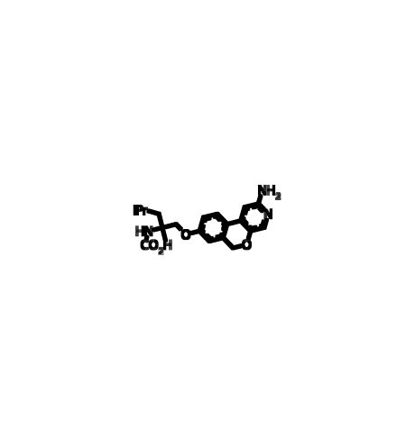 CC(C)CC(C)(COc1ccc2c(c1)COc1cnc(N)cc1-2)NC(=O)O